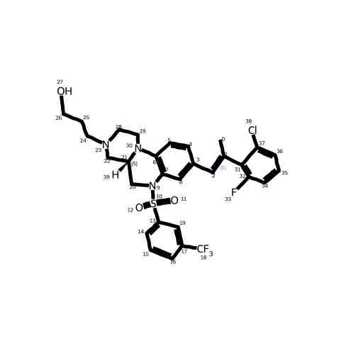 C/C(=C\c1ccc2c(c1)N(S(=O)(=O)c1cccc(C(F)(F)F)c1)C[C@@H]1CN(CCCO)CCN21)c1c(F)cccc1Cl